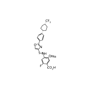 COc1cc(C(=O)O)c(F)cc1NSc1coc(-c2ccc([C@H]3CC[C@@H](C(F)(F)F)CC3)cc2)n1